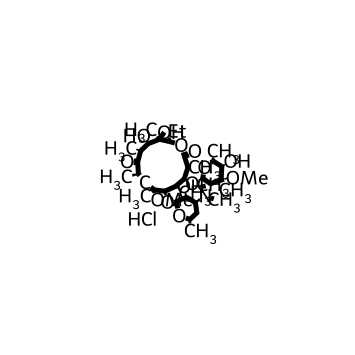 CC[C@H]1OC(=O)[C@H](C)[C@@H](O[C@H]2C[C@@](C)(OC)[C@@H](O)[C@H](C)O2)[C@H](C)[C@@H](O[C@@H]2O[C@H](C)C[C@H](N(C)C)[C@H]2O)[C@](C)(OC)C[C@@H](C)C(=O)[C@H](C)[C@@H](O)[C@]1(C)O.Cl